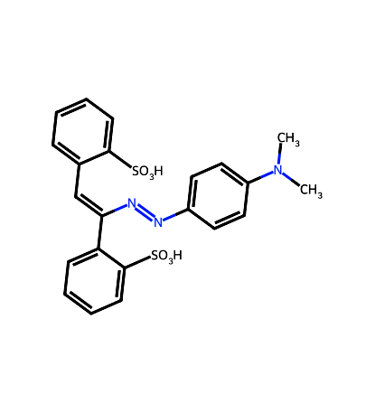 CN(C)c1ccc(N=NC(=Cc2ccccc2S(=O)(=O)O)c2ccccc2S(=O)(=O)O)cc1